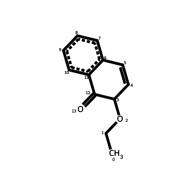 CCOC1C=Cc2ccccc2C1=O